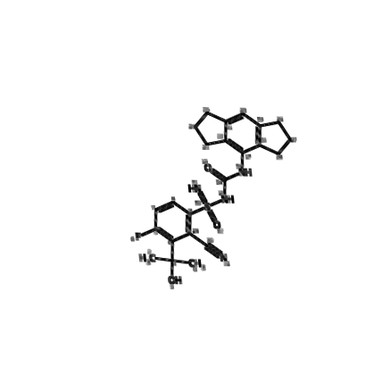 CC(C)(O)c1c(F)ccc(S(=N)(=O)NC(=O)Nc2c3c(cc4c2CCC4)CCC3)c1C#N